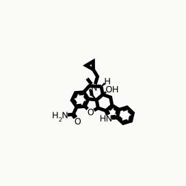 C[N+]1(CC2CC2)CC[C@]23c4c5ccc(C(N)=O)c4OC2c2[nH]c4ccccc4c2C[C@@]3(O)[C@H]1C5